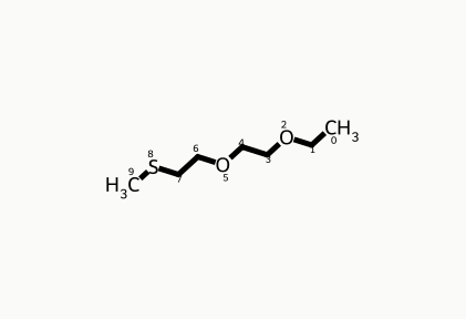 CCOCCOCCSC